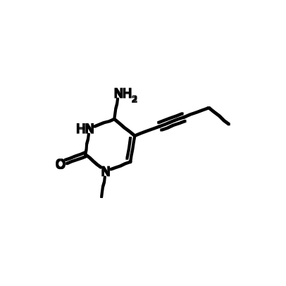 CCC#CC1=CN(C)C(=O)NC1N